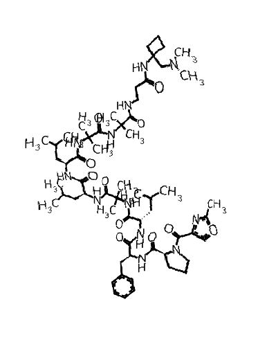 Cc1nc(C(=O)N2CCC[C@H]2C(=O)N[C@@H](Cc2ccccc2)C(=O)N[C@@H](CC(C)C)C(=O)NC(C)(C)C(=O)N[C@@H](CC(C)C)C(=O)N[C@@H](CC(C)C)C(=O)NC(C)(C)C(=O)NC(C)(C)C(=O)NCCC(=O)NC2(CN(C)C)CCC2)co1